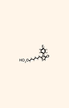 O=C(O)CCCCCCC1SCC(=O)N1c1ccc(F)cc1